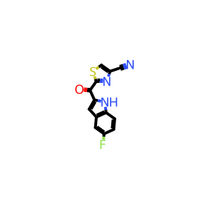 N#Cc1csc(C(=O)c2cc3cc(F)ccc3[nH]2)n1